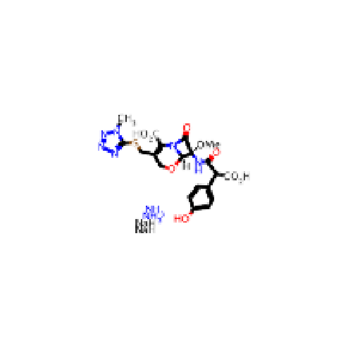 CO[C@@]1(NC(=O)C(C(=O)O)c2ccc(O)cc2)C(=O)N2C(C(=O)O)=C(CSc3nnnn3C)CO[C@@H]21.N.N.[NaH].[NaH]